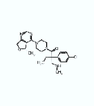 CCC(CNC)(C(=O)N1CCN(c2ncnc3c2[C@H](C)OC3)CC1)c1ccc(Cl)cc1